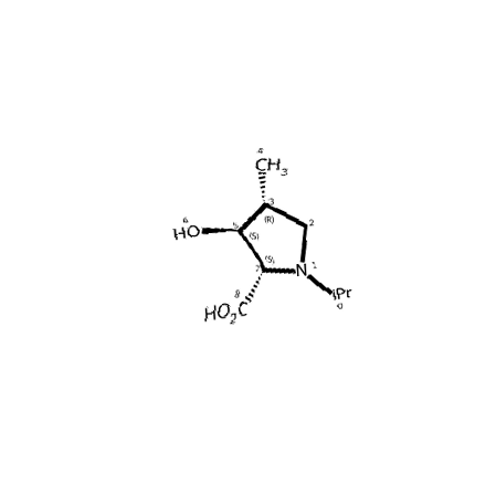 CC(C)N1C[C@@H](C)[C@H](O)[C@H]1C(=O)O